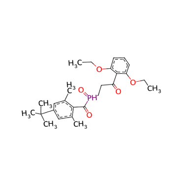 CCOc1cccc(OCC)c1C(=O)CC[PH](=O)C(=O)c1c(C)cc(C(C)(C)C)cc1C